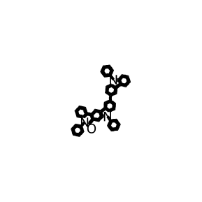 O=c1c2cc3c(cc2c2ccccc2n1-c1ccccc1)c1cc(-c2ccc4c(c2)c2ccccc2n4-c2ccccc2)ccc1n3-c1ccccc1